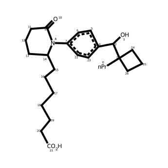 CCCC1(C(O)c2ccc(N3C(=O)CCCC3CCCCCCC(=O)O)cc2)CCC1